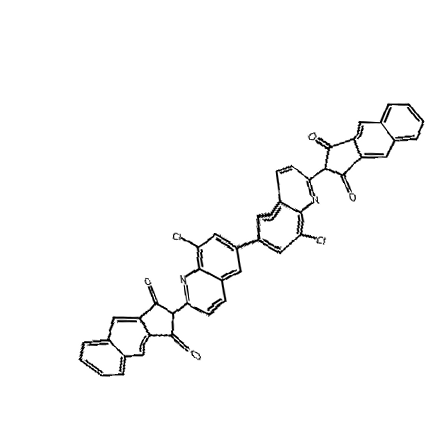 O=C1c2cc3ccccc3cc2C(=O)C1c1ccc2cc(-c3cc(Cl)c4nc(C5C(=O)c6cc7ccccc7cc6C5=O)ccc4c3)cc(Cl)c2n1